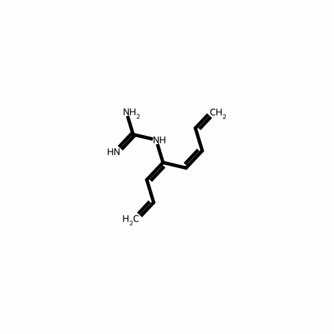 C=C/C=C\C(=C/C=C)NC(=N)N